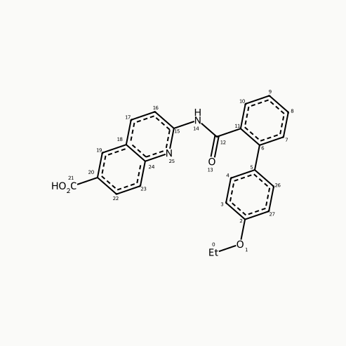 CCOc1ccc(-c2ccccc2C(=O)Nc2ccc3cc(C(=O)O)ccc3n2)cc1